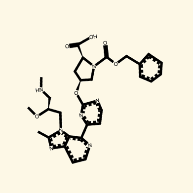 CNC[C@@H](Cn1c(C)nc2ccnc(-c3ccnc(O[C@H]4C[C@@H](C(=O)O)N(C(=O)OCc5ccccc5)C4)n3)c21)OC